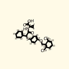 O=C(NC1(C(=O)O)CC1)C(Sc1ccc(OCc2c(Cl)cccc2Cl)cc1)c1ccccc1